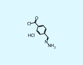 Cl.NN=Cc1ccc(C(=O)Cl)cc1